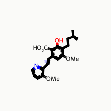 C=C(C)CCc1c(OC)cc(/C=C/c2ncccc2OC)c(C(=O)O)c1O